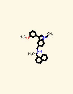 CCn1cc(-c2cccc(OC)c2)c2cc(CN[C@H](C)c3cccc4ccccc34)ccc21